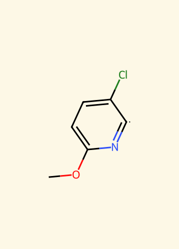 COc1ccc(Cl)[c]n1